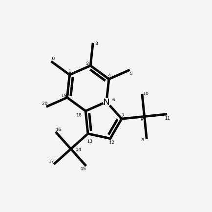 Cc1c(C)c(C)n2c(C(C)(C)C)cc(C(C)(C)C)c2c1C